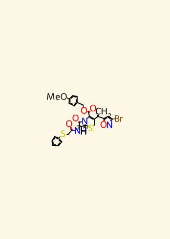 C=C(C1=C(C(=O)OCc2ccc(OC)cc2)N2C(=O)[C@@H](NC(=O)CSc3ccccc3)[C@H]2SC1)c1cc(Br)no1